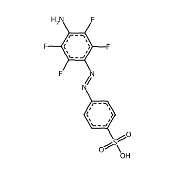 Nc1c(F)c(F)c(N=Nc2ccc(S(=O)(=O)O)cc2)c(F)c1F